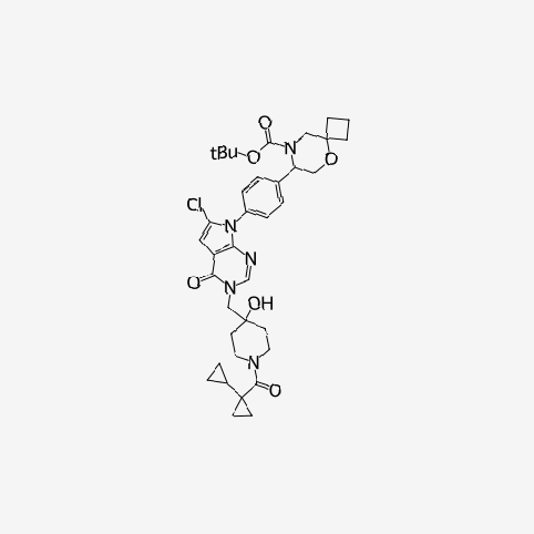 CC(C)(C)OC(=O)N1CC2(CCC2)OCC1c1ccc(-n2c(Cl)cc3c(=O)n(CC4(O)CCN(C(=O)C5(C6CC6)CC5)CC4)cnc32)cc1